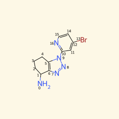 NC1CCCc2c1nnn2-c1cc(Br)ccn1